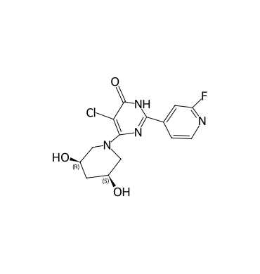 O=c1[nH]c(-c2ccnc(F)c2)nc(N2C[C@H](O)C[C@H](O)C2)c1Cl